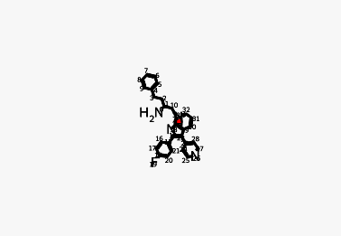 NC(CCc1ccccc1)CN1On2c(-c3ccc(F)cc3)c(-c3ccncc3)c3ccc1nc32